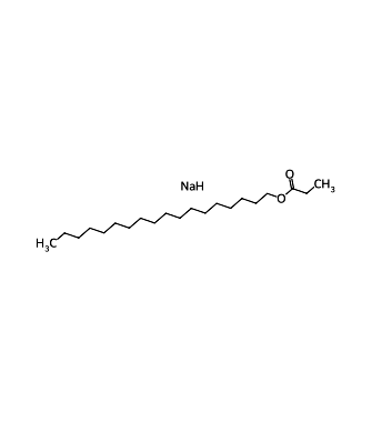 CCCCCCCCCCCCCCCCCCOC(=O)CC.[NaH]